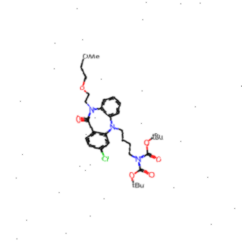 COCCOCCN1C(=O)c2ccc(Cl)cc2N(CCCCN(C(=O)OC(C)(C)C)C(=O)OC(C)(C)C)c2ccccc21